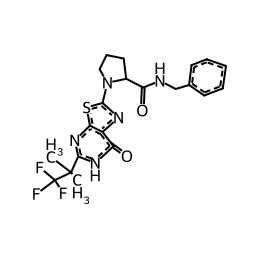 CC(C)(c1nc2sc(N3CCCC3C(=O)NCc3ccccc3)nc2c(=O)[nH]1)C(F)(F)F